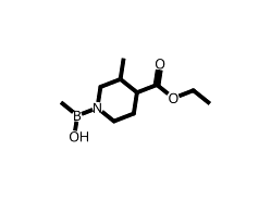 CCOC(=O)C1CCN(B(C)O)CC1C